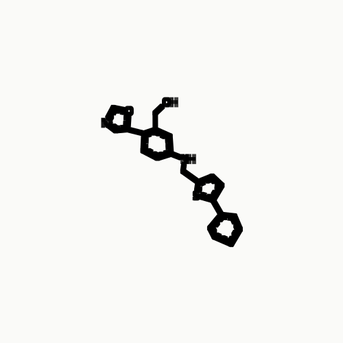 OCc1cc(NCc2ccc(-c3ccccc3)s2)ccc1-c1cnco1